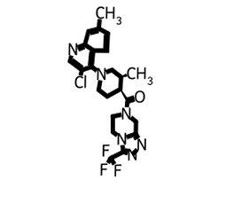 Cc1ccc2c(N3CC[C@H](C(=O)N4CCn5c(nnc5C(F)(F)F)C4)[C@H](C)C3)c(Cl)cnc2c1